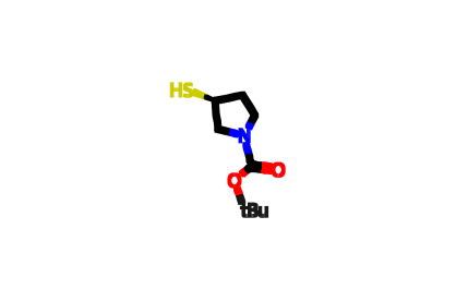 CC(C)(C)OC(=O)N1CC[C@H](S)C1